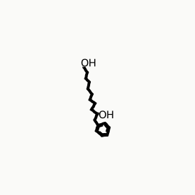 OCCCCCCCCCC(O)Cc1ccccc1